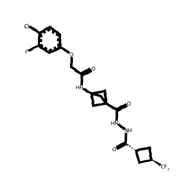 O=C(COc1ccc(Cl)c(F)c1)NC12CC(C(=O)NNC(=O)[C@H]3C[C@H](C(F)(F)F)C3)(C1)C2